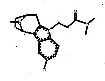 CN(C)C(=O)CCn1c2c(c3cc(Cl)ccc31)C1CCC(C2)N1C